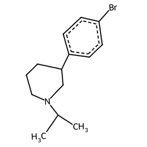 CC(C)N1CCCC(c2ccc(Br)cc2)C1